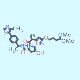 COC(CCCOc1cc(C(C(=O)N2C[C@H](O)C[C@H]2C(=O)NC(C)c2ccc(-c3scnc3C)cc2)C(C)C)on1)OC